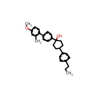 CCCc1ccc(C2CCC(O)(c3ccc(-c4ccc(OC)cc4C)cc3)CC2)cc1